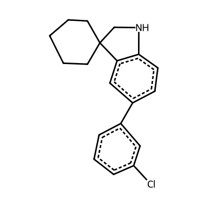 Clc1cccc(-c2ccc3c(c2)C2(CCCCC2)CN3)c1